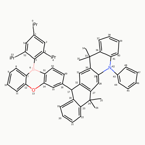 CC(C)c1cc(C(C)C)c(B2c3ccccc3Oc3cc(C4c5ccccc5C(C)(C)c5cc6c(cc54)C(C)(C)c4ccccc4N6c4ccccc4)ccc32)c(C(C)C)c1